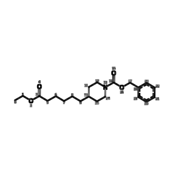 CCOC(=O)CCCCCC1CCN(C(=O)OCc2ccccc2)CC1